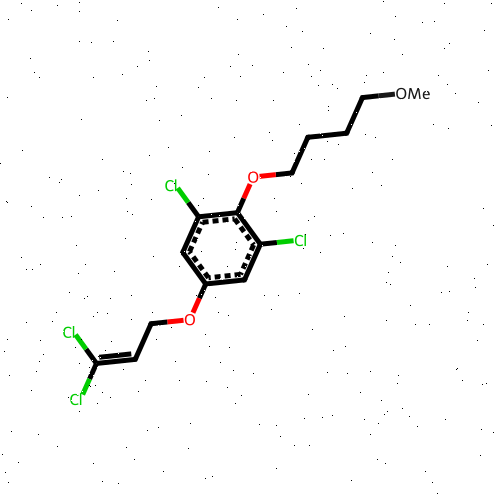 COCCCCOc1c(Cl)cc(OCC=C(Cl)Cl)cc1Cl